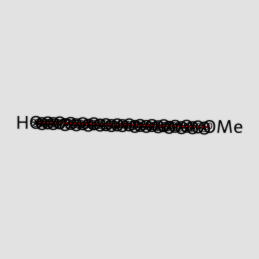 COCCOCCOCCOCCOCCOCCOCCOCCOCCOCCOCCOCCOCCOCCOCCOCCOCCOCCOCCOCCOCCOCCOCCOCCOCCOCCOCCOCCOCCOCCO